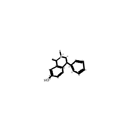 CC1c2cc(O)ccc2C(c2ccccc2)CN1C